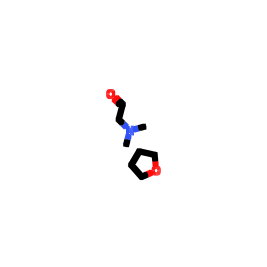 C1CCOC1.CN(C)CC=O